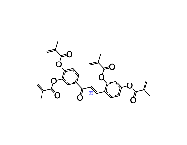 C=C(C)C(=O)Oc1ccc(/C=C/C(=O)c2ccc(OC(=O)C(=C)C)c(OC(=O)C(=C)C)c2)c(OC(=O)C(=C)C)c1